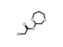 O=C(CCl)OC1CSCCCO1